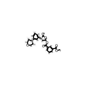 COC(=O)c1cccc(C(=O)O[C@H]2CN(c3cccc(N4CCOCC4)c3)C(=O)O2)c1